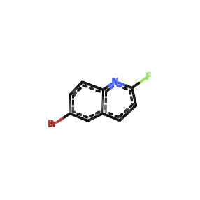 Fc1ccc2cc(Br)ccc2n1